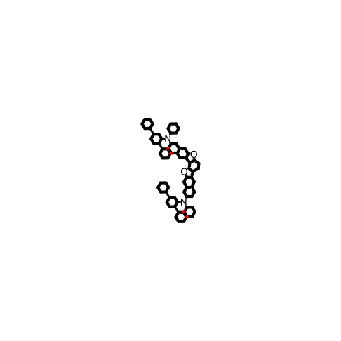 c1ccc(-c2ccc(-c3ccccc3)c(N(c3ccccc3)c3ccc4cc5c(cc4c3)oc3c5ccc4oc5cc6cc(N(c7ccccc7)c7cc(-c8ccccc8)ccc7-c7ccccc7)ccc6cc5c43)c2)cc1